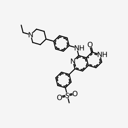 CCN1CCC(c2ccc(Nc3nc(-c4cccc(S(C)(=O)=O)c4)cc4cc[nH]c(=O)c34)cc2)CC1